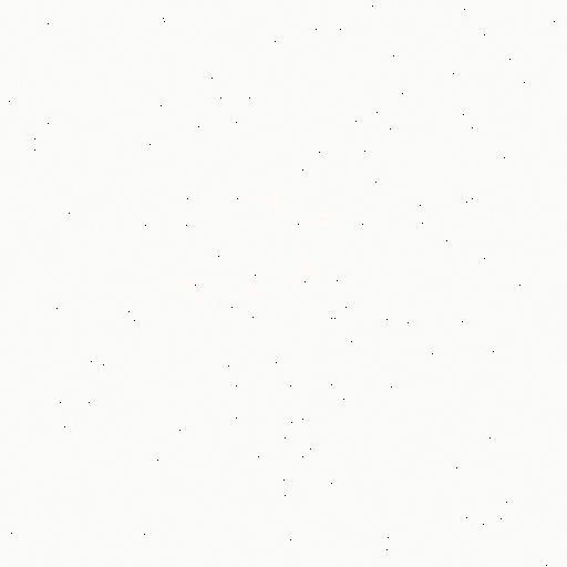 CCO[Si](COC(=O)C(C)(C)CC)(OCC)OCC